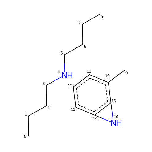 CCCCNCCCC.Cc1cccc2c1N2